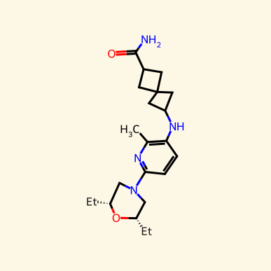 CC[C@@H]1CN(c2ccc(NC3CC4(C3)CC(C(N)=O)C4)c(C)n2)C[C@H](CC)O1